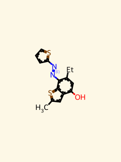 CCc1cc(O)c2cc(C)sc2c1/N=N/c1cccs1